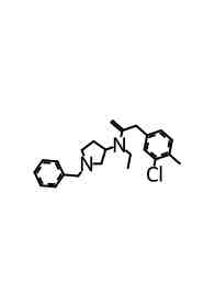 C=C(Cc1ccc(C)c(Cl)c1)N(CC)C1CCN(Cc2ccccc2)C1